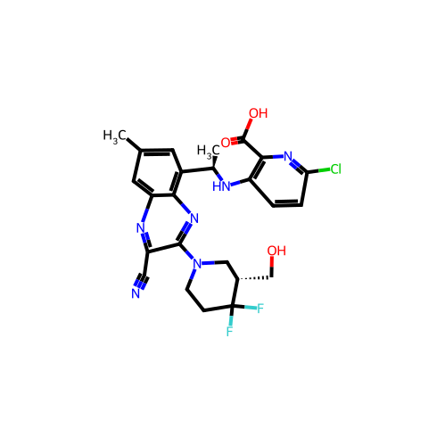 Cc1cc([C@@H](C)Nc2ccc(Cl)nc2C(=O)O)c2nc(N3CCC(F)(F)[C@@H](CO)C3)c(C#N)nc2c1